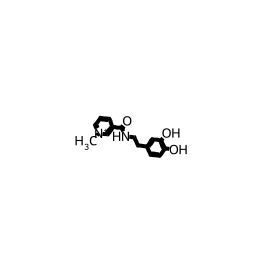 C[n+]1cccc(C(=O)NCCc2ccc(O)c(O)c2)c1